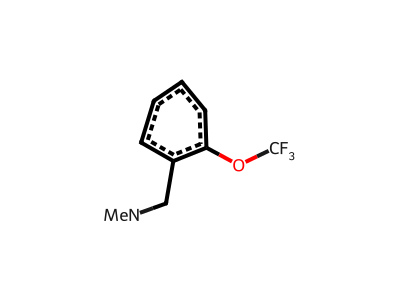 [CH2-][NH2+]Cc1ccccc1OC(F)(F)F